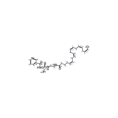 CC/C=C\C/C=C\C/C=C\C/C=C\C/C=C\CCCC(=O)NCCNC(=O)[C@@H](NC(=O)c1cccnc1)C(C)C